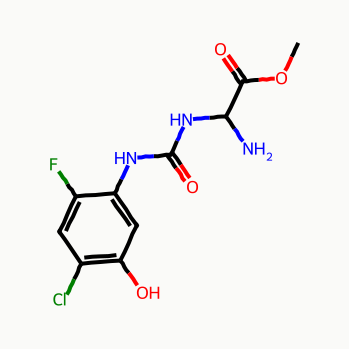 COC(=O)C(N)NC(=O)Nc1cc(O)c(Cl)cc1F